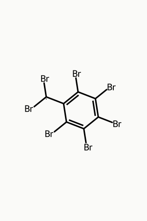 Br[C](Br)c1c(Br)c(Br)c(Br)c(Br)c1Br